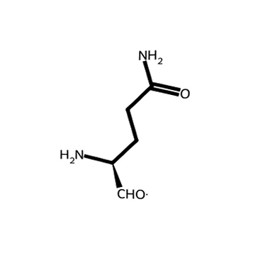 NC(=O)CC[C@H](N)[C]=O